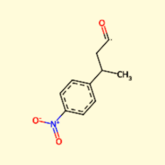 CC(C[C]=O)c1ccc([N+](=O)[O-])cc1